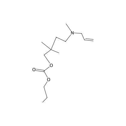 C=CCN(C)CCC(C)(C)COC(=O)OCCC